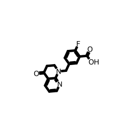 O=C(O)c1cc(CN2CCC(=O)c3cccnc32)ccc1F